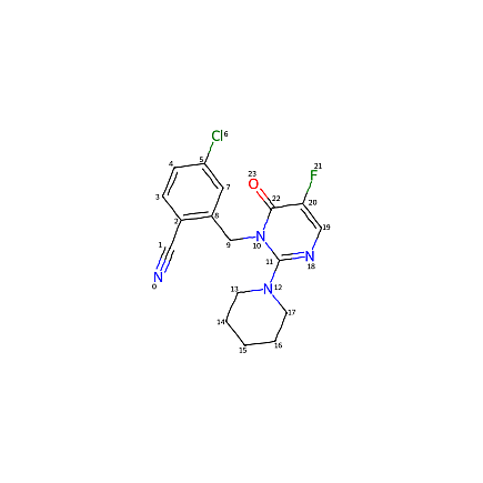 N#Cc1ccc(Cl)cc1Cn1c(N2CCCCC2)ncc(F)c1=O